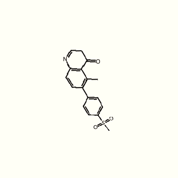 Cc1c(-c2ccc(S(C)(=O)=O)cc2)ccc2c1C(=O)CC=N2